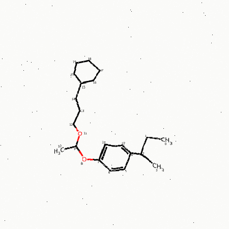 CCC(C)c1ccc(OC(C)OCCCC2CCCCC2)cc1